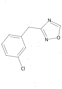 Clc1cccc(Cc2ncon2)c1